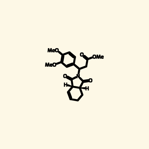 COC(=O)CC(c1ccc(OC)c(OC)c1)N1C(=O)[C@H]2C=CCC[C@H]2C1=O